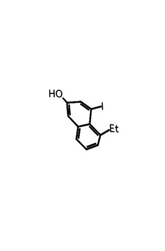 CCc1cccc2cc(O)cc(I)c12